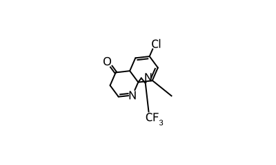 CN1C2=CC(Cl)=CC3C(=O)CC=NC23CC1C(F)(F)F